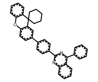 c1ccc(-c2nc(-c3ccc(-c4ccc5c(c4)C4(CCCCC4)c4ccccc4O5)cc3)nc3ccccc23)cc1